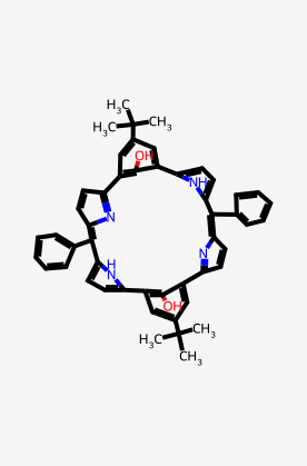 CC(C)(C)c1cc2c3nc(c(-c4ccccc4)c4ccc([nH]4)c4cc(C(C)(C)C)cc(c5nc(c(-c6ccccc6)c6ccc([nH]6)c(c1)c2O)C=C5)c4O)C=C3